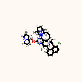 C#Cc1c(F)ccc2cccc(-c3nc4c5c(nc(OC[C@@]67CCCN6C[C@H](F)C7)nc5c3F)N3C[C@H]5CC[C@H](N5)[C@H]3CC[C@H]4C)c12